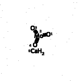 [CaH2].[O]=[Mo](=[O])=[O]